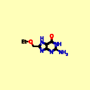 CCOCc1nc2nc(N)[nH]c(=O)c2[nH]1